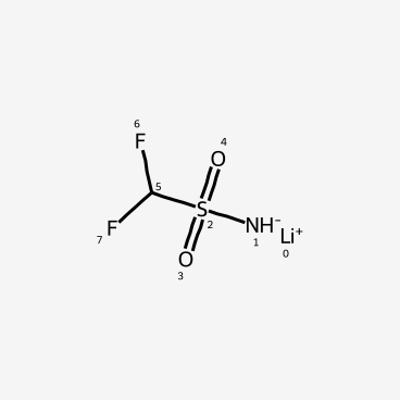 [Li+].[NH-]S(=O)(=O)C(F)F